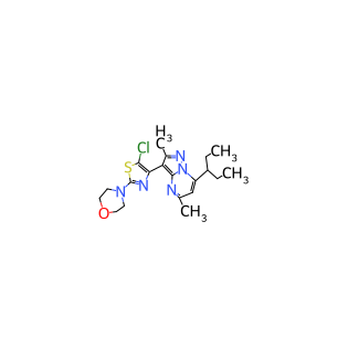 CCC(CC)c1cc(C)nc2c(-c3nc(N4CCOCC4)sc3Cl)c(C)nn12